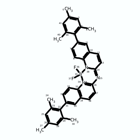 Cc1cc(C)c(-c2ccc3c(c2)C=CC2=Nc4ccc5cc(-c6c(C)cc(C)cc6C)ccc5[n+]4[B-](F)(F)N23)c(C)c1